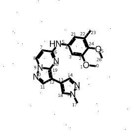 COc1cc(Nc2ccn3ncc(-c4cnn(C)c4)c3n2)cc(C)c1OC